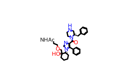 CC(=O)NCCOC[C@@]1(O)CCCC[C@@H]1n1cnc(C(=O)N2CCNC[C@H]2Cc2ccccc2)c1-c1ccccc1